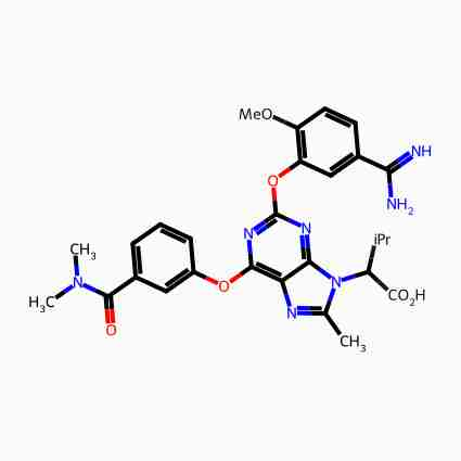 COc1ccc(C(=N)N)cc1Oc1nc(Oc2cccc(C(=O)N(C)C)c2)c2nc(C)n(C(C(=O)O)C(C)C)c2n1